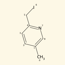 Cc1ccc(CI)nc1